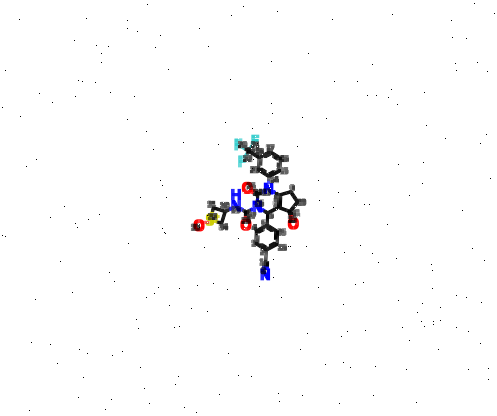 N#Cc1ccc(C2C3=C(CCC3=O)N(c3cccc(C(F)(F)F)c3)C(=O)N2C(=O)NC2C[S+]([O-])C2)cc1